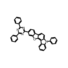 c1ccc(-c2nc(-c3ccccc3)nc(-c3ccc4c(c3)oc3c4ccc4c3c3ccccc3n4-c3ccccc3)n2)cc1